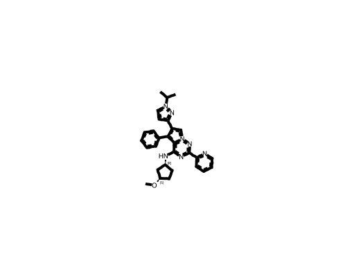 CO[C@H]1CC[C@@H](Nc2nc(-c3ccccn3)nn3cc(-c4ccn(C(C)C)n4)c(-c4ccccc4)c23)C1